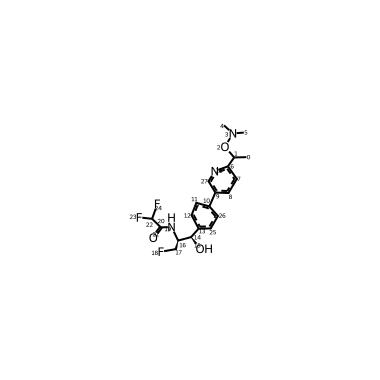 CC(ON(C)C)c1ccc(-c2ccc([C@@H](O)[C@@H](CF)NC(=O)C(F)F)cc2)cn1